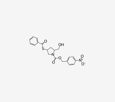 O=C(SC1CC(CO)N(C(=O)OCc2ccc([N+](=O)[O-])cc2)C1)c1ccccc1